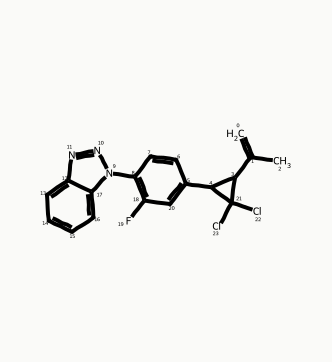 C=C(C)C1C(c2ccc(-n3nnc4ccccc43)c(F)c2)C1(Cl)Cl